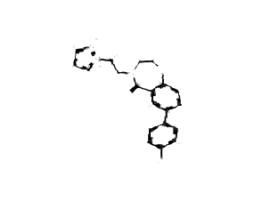 Cc1ccc(-c2ccc3c(c2)C(=O)N(CCn2cccn2)CCO3)cc1